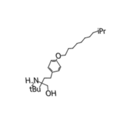 CC(C)CCCCCCCCOc1ccc(CCC(N)(CO)C(C)(C)C)cc1